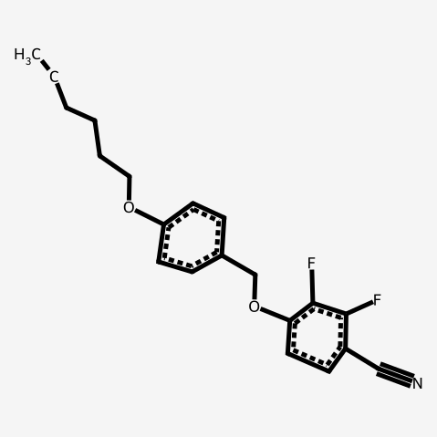 CCCCCCOc1ccc(COc2ccc(C#N)c(F)c2F)cc1